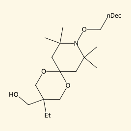 CCCCCCCCCCCON1C(C)(C)CC2(CC1(C)C)OCC(CC)(CO)CO2